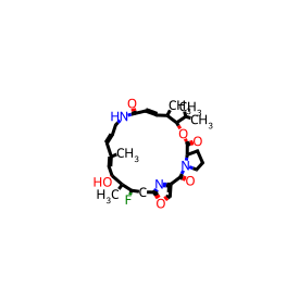 CC1=C\C(O)C(C)C(F)Cc2nc(co2)C(=O)N2CCCC2C(=O)OC(C(C)C)C(C)/C=C/C(=O)NC\C=C\1